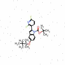 CC(C)(C)OC(=O)n1c(-c2ccc(F)nc2F)cc2cc(O[Si](C)(C)C(C)(C)C)ccc21